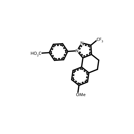 COc1ccc2c(c1)CCc1c(C(F)(F)F)nn(-c3ccc(C(=O)O)cc3)c1-2